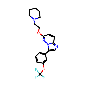 FC(F)(F)Oc1cccc(-c2cnc3ccc(OCCN4CCCCC4)nn23)c1